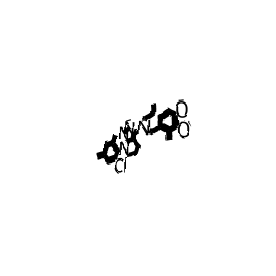 CCCN(Cc1ccc(OC)c(OC)c1C)c1c2c(nn1C)N(c1c(C)cc(C)cc1Cl)CCC2